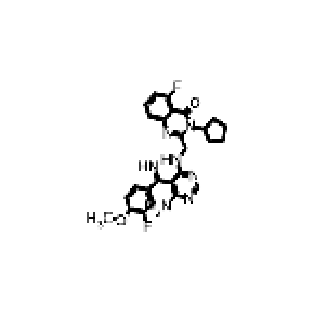 COc1ccc(C(=N)c2c(N)ncnc2NCc2nc3cccc(F)c3c(=O)n2C2CCCC2)cc1F